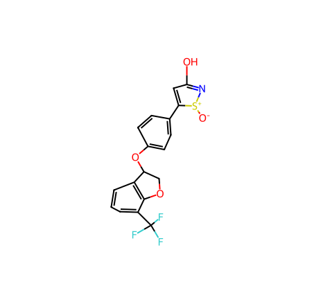 [O-][s+]1nc(O)cc1-c1ccc(OC2COc3c2cccc3C(F)(F)F)cc1